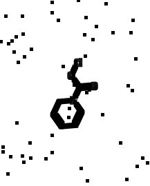 O=C(OCl)N1C=CC=CC1